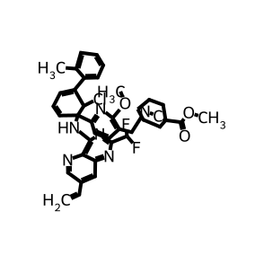 C=Cc1cnc2c(NC3(c4ccc(CN5CC6(C(=O)OC)CCC5CC6)c(OC)n4)C=CC=C(c4ccccc4C)C3Cl)nc(C(F)F)nc2c1